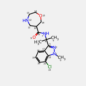 Cn1nc(C(C)(C)NC(=O)C2CNCCOC2)c2cccc(Cl)c21